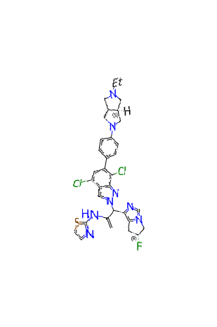 C=C(Nc1nccs1)C(c1ncn2c1C[C@@H](F)C2)n1cc2c(Cl)cc(-c3ccc(N4CC5CN(CC)C[C@H]5C4)cc3)c(Cl)c2n1